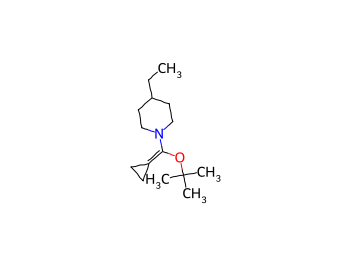 CCC1CCN(C(OC(C)(C)C)=C2CC2)CC1